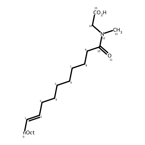 CCCCCCCCC=CCCCCCCCC(=O)N(C)CC(=O)O